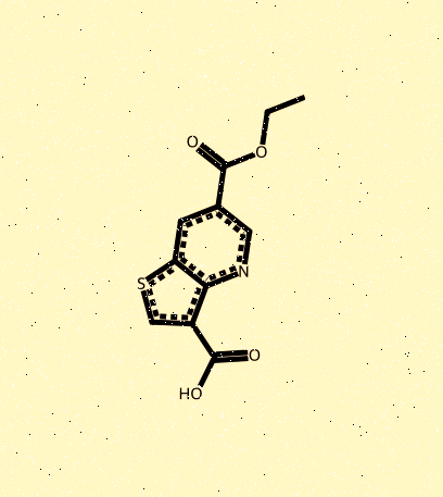 CCOC(=O)c1cnc2c(C(=O)O)csc2c1